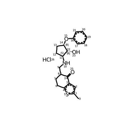 Cc1cc2c(s1)CCC(CN[C@H]1CC[C@@H](Oc3ccccc3)[C@@H]1O)C2=O.Cl